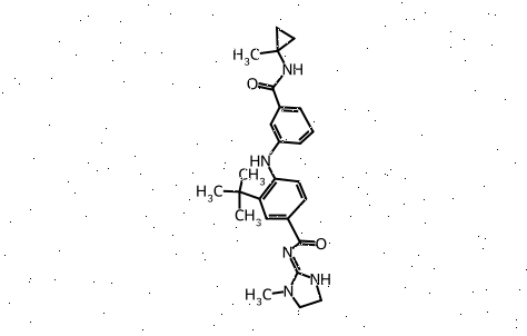 CN1CCN/C1=N\C(=O)c1ccc(Nc2cccc(C(=O)NC3(C)CC3)c2)c(C(C)(C)C)c1